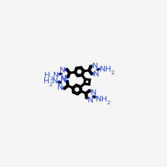 Nc1ncc(-c2ccc(-c3cnc(N)nc3)c([C]3CCC3c3cc(-c4cnc(N)nc4)ccc3-c3cnc(N)nc3)c2)cn1